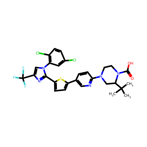 CC(C)(C)C1CN(c2ccc(-c3ccc(-c4nc(C(F)(F)F)cn4-c4cc(Cl)ccc4Cl)s3)cn2)CCN1C(=O)O